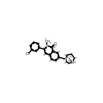 Cn1c(-c2cccc(Cl)c2)cc2ccc(N3CCN4CCC3CC4)cc2c1=O